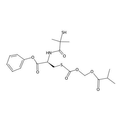 CC(C)C(=O)OCOC(=O)SC[C@H](NC(=O)C(C)(C)S)C(=O)Oc1ccccc1